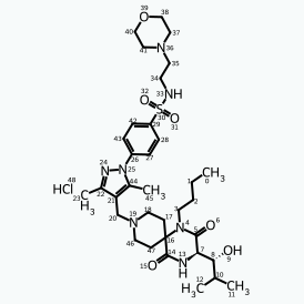 CCCCN1C(=O)[C@@H]([C@H](O)C(C)C)NC(=O)C12CCN(Cc1c(C)nn(-c3ccc(S(=O)(=O)NCCN4CCOCC4)cc3)c1C)CC2.Cl